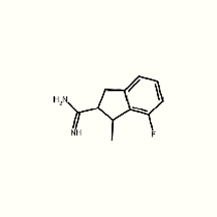 CC1c2c(F)cccc2CC1C(=N)N